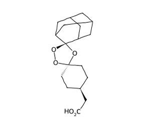 O=C(O)C[C@H]1CC[C@]2(CC1)OO[C@]1(O2)C2CC3CC(C2)CC1C3